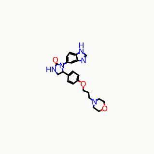 O=C1NCC(c2ccc(OCCCN3CCOCC3)cc2)N1c1ccc2[nH]cnc2c1